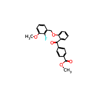 COC(=O)c1ccc(C(=O)c2ccccc2OCc2cccc(OC)c2F)cc1